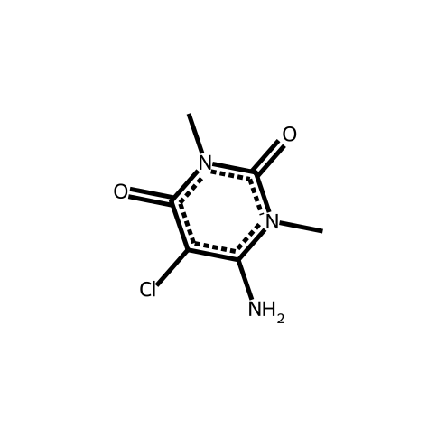 Cn1c(N)c(Cl)c(=O)n(C)c1=O